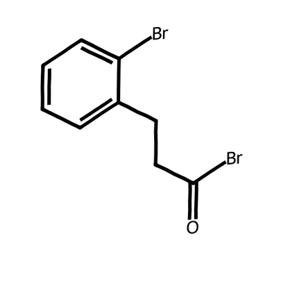 O=C(Br)CCc1ccccc1Br